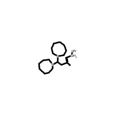 CCC[SiH2]C=C(C)CC(N1CCCCCCC1)N1CCCCCCC1